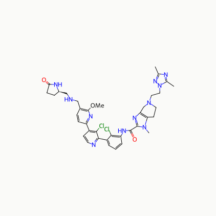 COc1nc(-c2ccnc(-c3cccc(NC(=O)c4nc5c(n4C)CCN(CCn4nc(C)nc4C)C5)c3Cl)c2Cl)ccc1CNC[C@H]1CCC(=O)N1